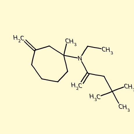 C=C1CCCCC(C)(N(CC)C(=C)CC(C)(C)C)C1